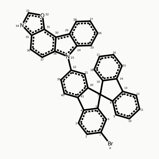 Brc1ccc2c(c1)C1(c3ccccc3-c3ccccc31)c1cc(-n3c4ccccc4c4c5ocnc5ccc43)ccc1-2